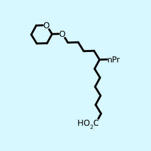 CCCC(CCCCCCC(=O)O)CCCCOC1CCCCO1